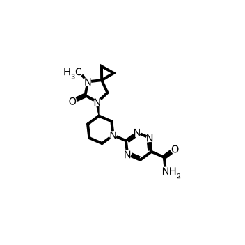 CN1C(=O)N([C@@H]2CCCN(c3ncc(C(N)=O)nn3)C2)CC12CC2